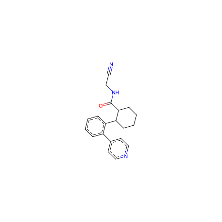 N#CCNC(=O)C1CCCCC1c1ccccc1-c1ccncc1